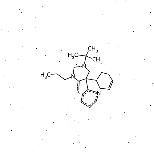 CCCN1CN(C(C)(C)C)CC(c2ccccn2)(C2CC=CCC2)C1=S